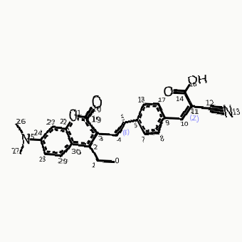 CCc1c(/C=C/c2ccc(/C=C(/C#N)C(=O)O)cc2)c(=O)oc2cc(N(C)C)ccc12